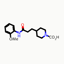 COc1ccccc1NC(=O)CCC1CCN(C(=O)O)CC1